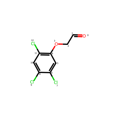 O=[C]COc1cc(Cl)c(Cl)cc1Cl